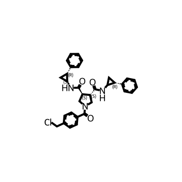 O=C(NC1C[C@@H]1c1ccccc1)[C@@H]1CN(C(=O)c2ccc(CCl)cc2)C[C@H]1C(=O)N[C@H]1C[C@@H]1c1ccccc1